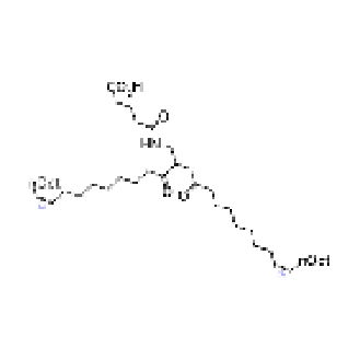 CCCCCCCC/C=C\CCCCCCCC(=O)CC(CNC(=O)CCCC(=O)O)C(=O)CCCCCCC/C=C\CCCCCCCC